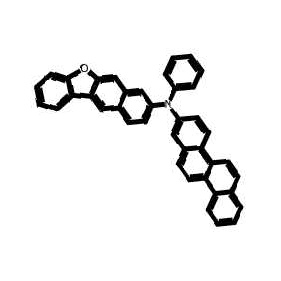 c1ccc(N(c2ccc3cc4c(cc3c2)oc2ccccc24)c2ccc3c(ccc4c5ccccc5ccc34)c2)cc1